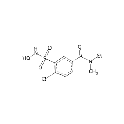 CCN(C)C(=O)c1ccc(Cl)c(S(=O)(=O)NO)c1